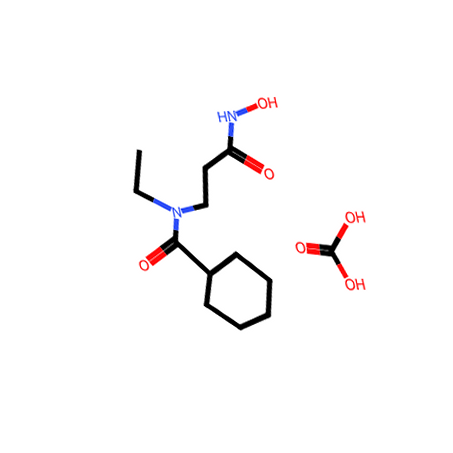 CCN(CCC(=O)NO)C(=O)C1CCCCC1.O=C(O)O